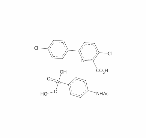 CC(=O)Nc1ccc([As](=O)(O)OO)cc1.O=C(O)c1nc(-c2ccc(Cl)cc2)ccc1Cl